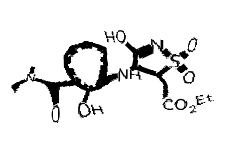 CCOC(=O)C1=C(Nc2cccc(C(=O)N(C)C)c2O)C(O)=NS1(=O)=O